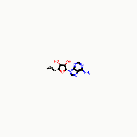 C[Se]C[C@H]1O[C@@H](n2cnc3c(N)ncnc32)[C@H](O)[C@@H]1O